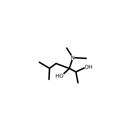 CC(C)CC(O)(C(C)O)N(C)C